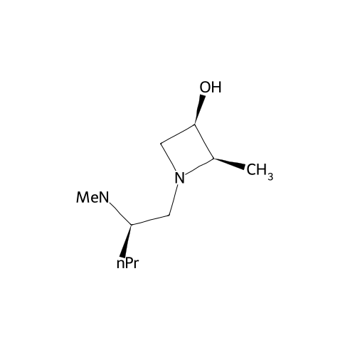 CCC[C@H](CN1C[C@@H](O)[C@H]1C)NC